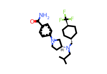 CC(C)CN(C[C@H]1CC[C@H](C(F)(F)F)CC1)[C@@H]1CCN(c2ccc(C(N)=O)cc2)C1